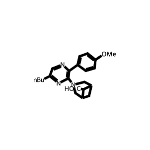 CCCCc1cnc(-c2ccc(OC)cc2)c(N2CC3CC(C2)C3C(=O)O)n1